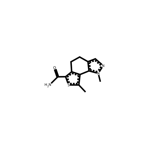 Cc1sc(C(N)=O)c2c1-c1c(cnn1C)CC2